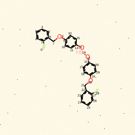 Fc1ccccc1COc1ccc(OBOc2ccc(OCc3ccccc3F)cc2)cc1